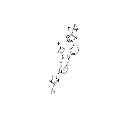 O=C(N(CC12CCC(c3nc(C4CC4)no3)(CC1)CC2)c1cccc(-c2noc(C(F)(F)F)n2)c1)C12CC(F)(C1)C2